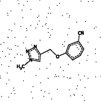 Cn1cc(COc2cccc(C#N)c2)nn1